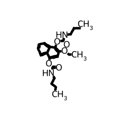 CCCCNC(=O)Oc1cc(OCC)c(OC(=O)NCCCC)c2ccccc12